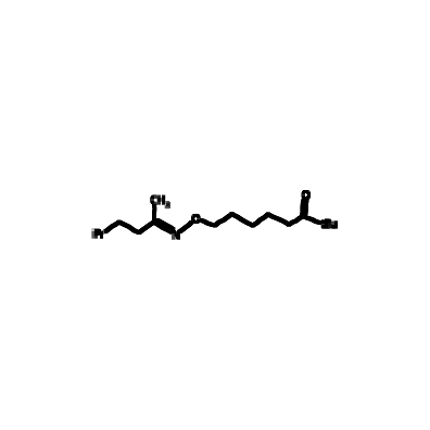 C/C(CCC(C)C)=N\OCCCCCC(=O)C(C)(C)C